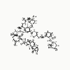 CCN1CC[C@H]2CC[C@@H](C(=O)N[C@@H](CCC(N)=O)C(=O)N[C@@H](Cc3ccc(C(C)(C)C)cc3)C(=O)N3CCC(CCNc4cccc5c4CN(C4CCC(=O)NC4=O)C5=O)CC3)N2C(=O)[C@@H](NC(=O)c2cc3cc(C(F)(F)P(=O)(O)O)ccc3s2)C1